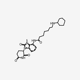 Cn1c(=O)n(C2CCC(=O)NC2=O)c2cccc(NC(=O)CCCCCCNC3CCCCC3)c21